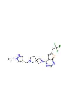 Cn1cc(CN2CCC3(C2)CN(c2ncnc4sc(CC(F)(F)F)cc24)C3)cn1